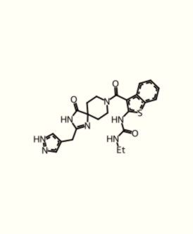 CCNC(=O)Nc1sc2ccccc2c1C(=O)N1CCC2(CC1)N=C(Cc1cn[nH]c1)NC2=O